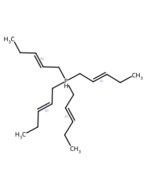 CC/C=C/C[PH](C/C=C/CC)(C/C=C/CC)C/C=C/CC